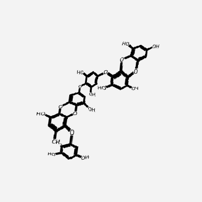 Cc1cc(O)c2c(c1Oc1cc(O)cc(O)c1)Oc1c(O)cc(Oc3c(O)cc(Oc4c(O)cc(O)c5c4Oc4c(O)cc(O)cc4O5)cc3O)cc1O2